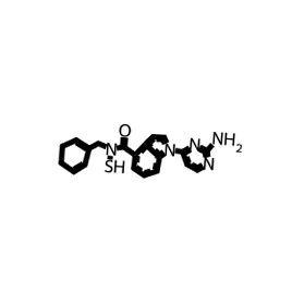 Nc1nccc(-n2ccc3c(C(=O)N(S)CC4=CCCC=C4)cccc32)n1